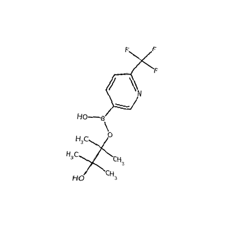 CC(C)(O)C(C)(C)OB(O)c1ccc(C(F)(F)F)nc1